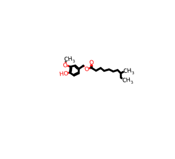 CCC(C)CCCCCCC(=O)OCc1ccc(O)c(OC)c1